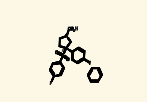 O=C(O)N1CC[C@@](c2ccc(I)cc2)(S(=O)(=O)c2ccc(F)cc2)C1.c1ccccc1